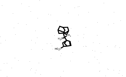 CC(C)(C12C=CC(C1)C(C(=O)O)C2)C12CC3CC(CC(C3)C1)C2